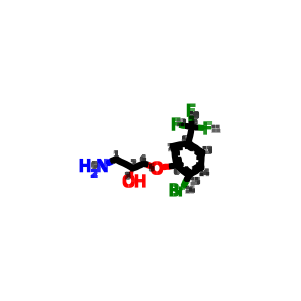 NC[C@@H](O)COc1cc(C(F)(F)F)ccc1Br